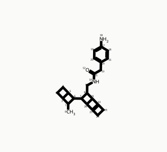 CC1C2CCC2C1C1C(CNC(=O)Cc2ccc(N)cc2)C2C3=C(CC3)C21